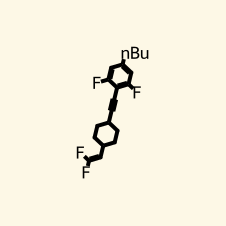 CCCCc1cc(F)c(C#CC2CCC(C=C(F)F)CC2)c(F)c1